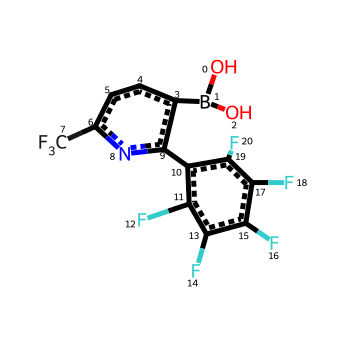 OB(O)c1ccc(C(F)(F)F)nc1-c1c(F)c(F)c(F)c(F)c1F